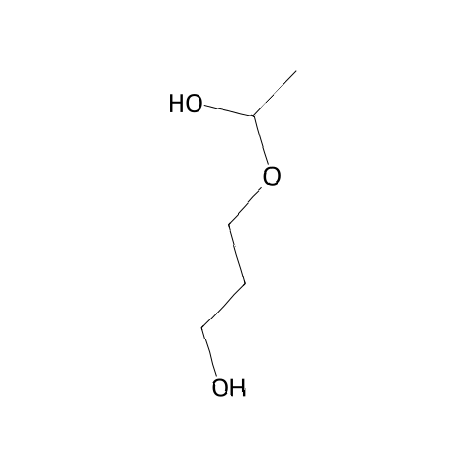 CC(O)OCCCO